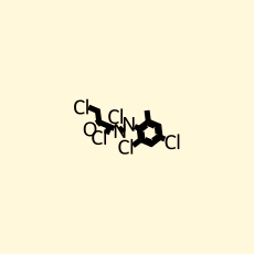 Cc1cc(Cl)cc(Cl)c1N=NC(Cl)(Cl)C(=O)CCl